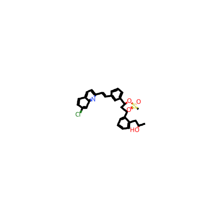 CC(O)Cc1ccccc1CCC(OS(C)(=O)=O)c1cccc(C=Cc2ccc3ccc(Cl)cc3n2)c1